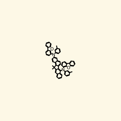 Cc1cccc(N(c2ccc3c4c(ccc3c2)-c2c(cc3ccccc3c2N(c2cccc(C)c2)c2cccc3c2oc2ccccc23)C4(C)C)c2cccc3c2oc2ccccc23)c1